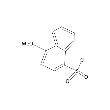 COc1ccc(S(=O)(=O)Cl)c2ccccc12